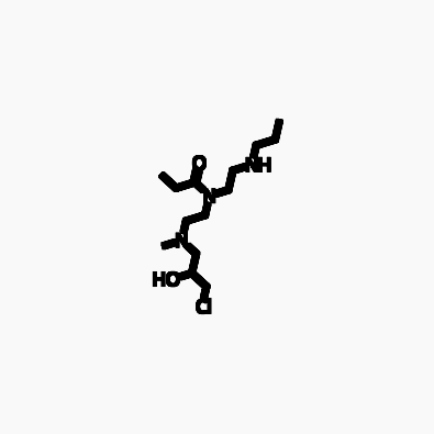 CCCNCCN(CCN(C)CC(O)CCl)C(=O)CC